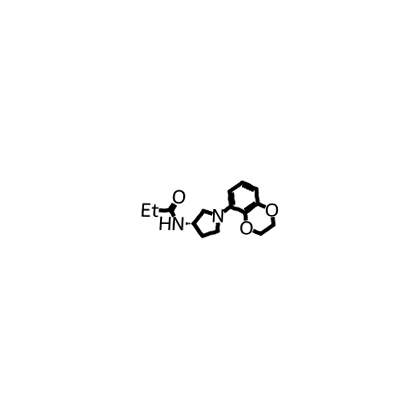 CCC(=O)N[C@H]1CCN(c2cccc3c2OCCO3)C1